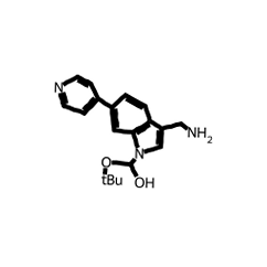 CC(C)(C)OC(O)n1cc(CN)c2ccc(-c3ccncc3)cc21